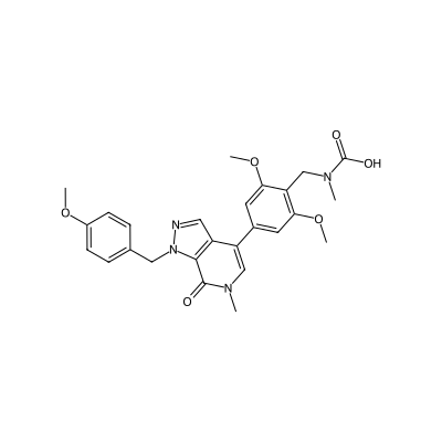 COc1ccc(Cn2ncc3c(-c4cc(OC)c(CN(C)C(=O)O)c(OC)c4)cn(C)c(=O)c32)cc1